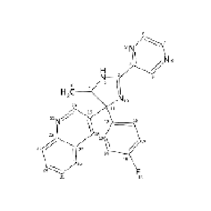 CC1NC(c2cnccn2)=NC1(c1ccc(F)cc1)c1cnc2ccccc2c1